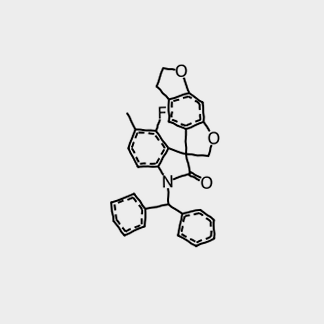 Cc1ccc2c(c1F)C1(COc3cc4c(cc31)CCO4)C(=O)N2C(c1ccccc1)c1ccccc1